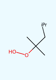 CC(C)CC(C)(C)OO